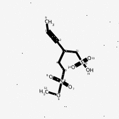 CC#CC(CCS(=O)(=O)OC)CS(=O)(=O)O